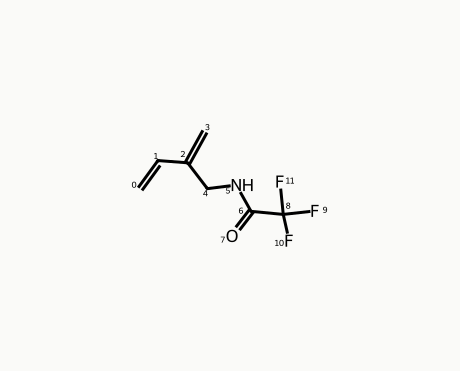 C=CC(=C)CNC(=O)C(F)(F)F